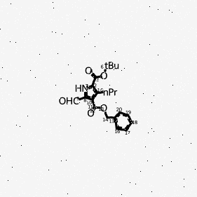 CCCc1c(C(=O)OC(C)(C)C)[nH]c(C=O)c1C(=O)OCc1ccccc1